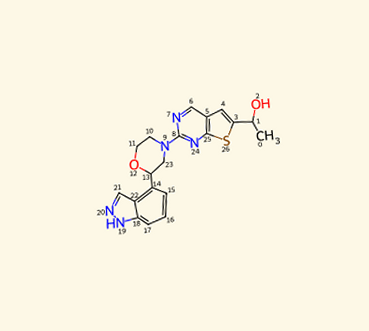 CC(O)c1cc2cnc(N3CCOC(c4cccc5[nH]ncc45)C3)nc2s1